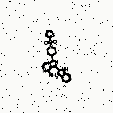 Nc1nccn2c(C3CCN(S(=O)(=O)c4cccs4)CC3)nc(-c3cc4ccccc4[nH]3)c12